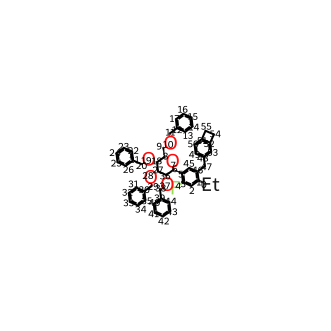 CCc1cc(F)c([C@@H]2O[C@H](COCc3ccccc3)[C@@H](OCc3ccccc3)[C@H](OCc3ccccc3)[C@H]2OCc2ccccc2)cc1Cc1ccc2c(c1)CC2